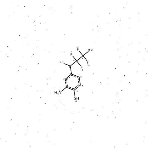 Nc1cc(C(F)C(F)(F)C(F)(F)F)ccc1S